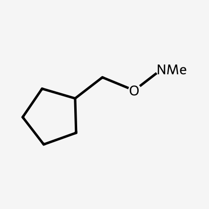 CNOCC1CCCC1